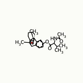 CC(=O)NC(C(=O)Oc1ccc2c(c1)[C@]13CCCC[C@@H]1C(C2)N(C)C[C@@H]3C)C(C)C